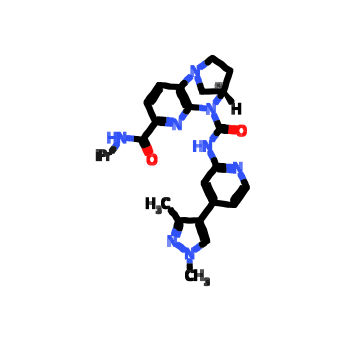 Cc1nn(C)cc1-c1ccnc(NC(=O)N2c3nc(C(=O)NC(C)C)ccc3N3CC[C@H]2C3)c1